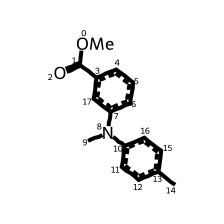 COC(=O)c1cccc(N(C)c2ccc(C)cc2)c1